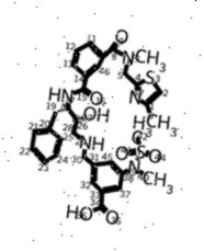 Cc1csc(CN(C)C(=O)c2cccc(C(=O)N[C@@H](Cc3ccccc3)[C@H](O)CNCc3cc(C(=O)O)cc(N(C)S(C)(=O)=O)c3)c2)n1